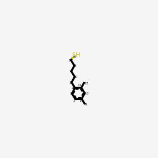 Cc1ccc(CCCCCS)c(C)c1